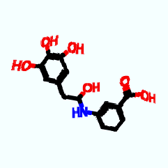 O=C(O)C1=CCCC(NC(O)Cc2cc(O)c(O)c(O)c2)=C1